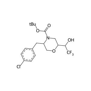 CC(C)(C)OC(=O)N1CC(C(O)C(F)(F)F)OCC1Cc1ccc(Cl)cc1